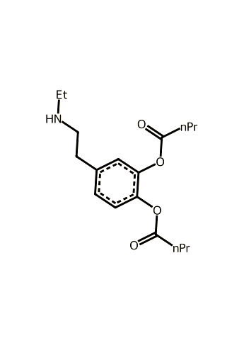 CCCC(=O)Oc1ccc(CCNCC)cc1OC(=O)CCC